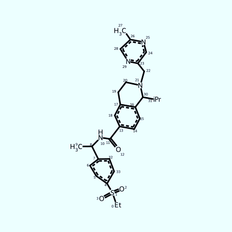 CCS(=O)(=O)c1ccc(C(C)NC(=O)c2ccc3c(c2)CCN(Cc2cnc(C)cn2)C3C(C)C)cc1